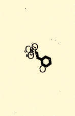 CO[Si](CCC1CCCC2OC12)(OC)OC